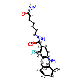 CNC(=O)CCCCCCNC(=O)c1ccc(Nc2c(C)cccc2C)cc1F